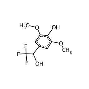 COc1cc(C(O)C(F)(F)F)cc(OC)c1O